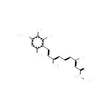 CCCCNC(=O)C=C(C)C=CC=C(C)C=Cc1c(C)cc(OC)c(C)c1C